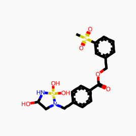 CS(=O)(=O)c1cccc(COC(=O)c2ccc(CN3CC(O)NS3(O)O)cc2)c1